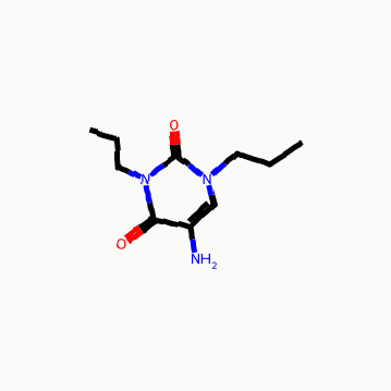 CCCn1cc(N)c(=O)n(CCC)c1=O